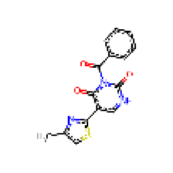 Cc1csc(-c2c[nH]c(=O)n(C(=O)c3ccccc3)c2=O)n1